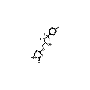 Cc1ccc(C(F)(F)NC(O)COc2cc[nH]c(=O)n2)cc1